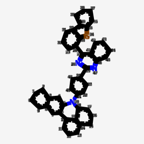 c1ccc2cc3c(cc2c1)-c1cccc2cccc(c12)N3c1ccc(-c2nc(-c3cccc4c3sc3ccccc34)c3ccccc3n2)cc1